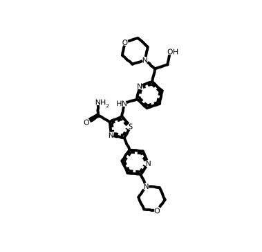 NC(=O)c1nc(-c2ccc(N3CCOCC3)nc2)sc1Nc1cccc(C(CO)N2CCOCC2)n1